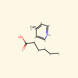 CCCCCC(=O)O.[CaH2].c1ccncc1